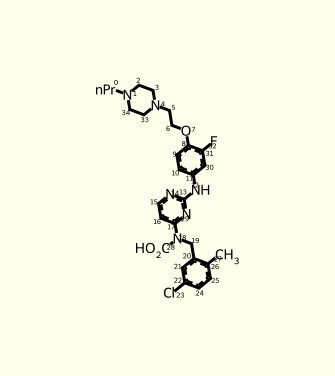 CCCN1CCN(CCOc2ccc(Nc3nccc(N(Cc4cc(Cl)ccc4C)C(=O)O)n3)cc2F)CC1